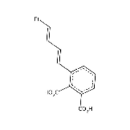 CCC=CC=Cc1cccc(C(=O)O)c1C(=O)O